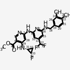 COC(=O)c1cnc(Nc2cc(C(F)F)cc(NCc3ccc(C)c(C)c3)n2)cc1N[C@@H]1C[C@@H]1F